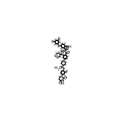 CN(Cc1ccc(N2CCC(=O)NC2=O)cc1F)C1CCN(c2ccc(C(=O)Nc3n[nH]c4ccc(Cc5cc(F)cc(F)c5)cc34)c(NC3CCOCC3)c2)CC1